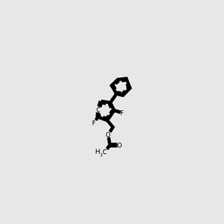 CC(=O)OCc1c(F)ccc(-c2ccccc2)c1F